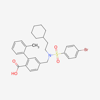 Cc1ccccc1-c1cc(CN(CCC2CCCCC2)S(=O)(=O)c2ccc(Br)cc2)ccc1C(=O)O